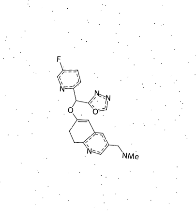 CNCc1cnc2c(c1)C=C(OC(c1ccc(F)cn1)c1nnco1)CC2